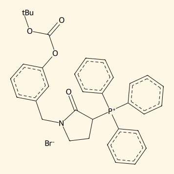 CC(C)(C)OC(=O)Oc1cccc(CN2CCC([P+](c3ccccc3)(c3ccccc3)c3ccccc3)C2=O)c1.[Br-]